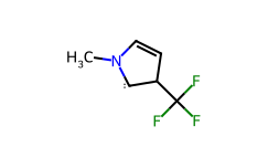 CN1[C]C(C(F)(F)F)C=C1